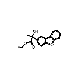 CCOC(=O)C(C)(S)c1ccc2oc3ccccc3c2c1